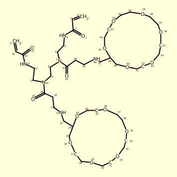 C=CC(=O)NCCN(CCN(CCNC(=O)C=C)C(=O)CCNCC1COCCOCCOCCOCCOCCO1)C(=O)CCNCC1COCCOCCOCCOCCOCCO1